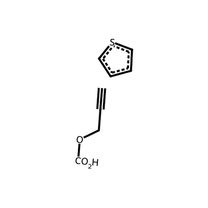 C#CCOC(=O)O.c1ccsc1